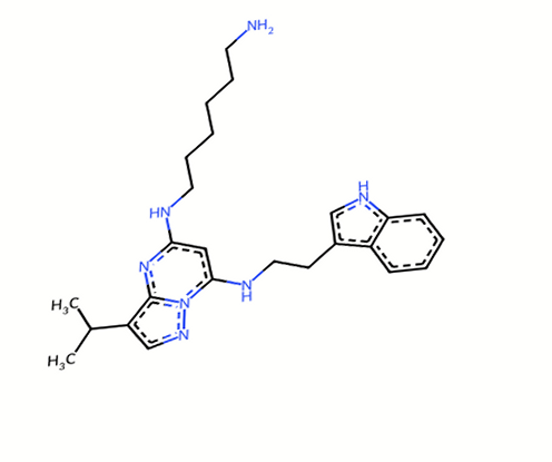 CC(C)c1cnn2c(NCCc3c[nH]c4ccccc34)cc(NCCCCCCN)nc12